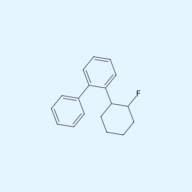 FC1CCCCC1c1ccccc1-c1ccccc1